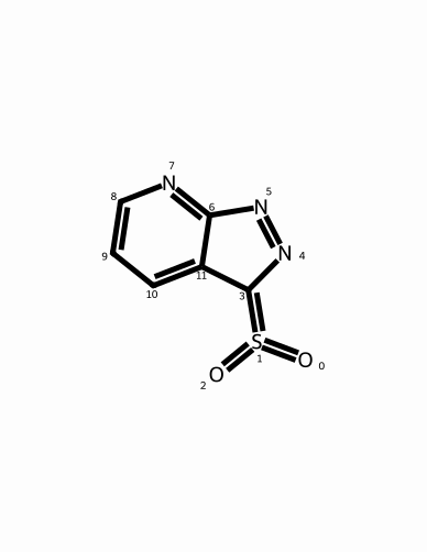 O=S(=O)=C1N=Nc2ncccc21